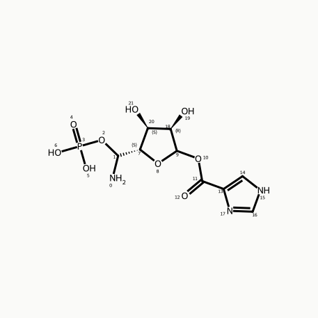 NC(OP(=O)(O)O)[C@H]1OC(OC(=O)c2c[nH]cn2)[C@H](O)[C@@H]1O